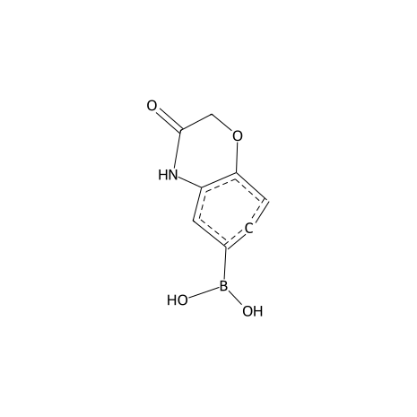 O=C1COc2ccc(B(O)O)cc2N1